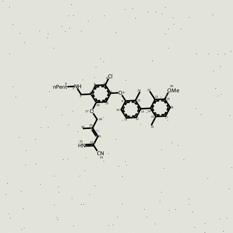 CCCCCNCc1cc(Cl)c(Oc2cccc(-c3c(C)ccc(OC)c3C)c2C)cc1OC/C(C)=C/C(=N)C#N